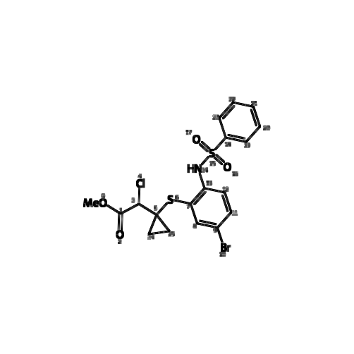 COC(=O)C(Cl)C1(Sc2cc(Br)ccc2NS(=O)(=O)c2ccccc2)CC1